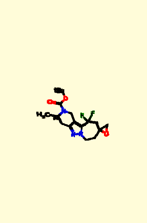 C[C@@H]1Cc2nn3c(c2CN1C(=O)OC(C)(C)C)C(F)(F)CC1(CC3)CO1